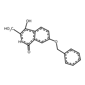 O=C(O)c1[nH]c(=O)c2cc(OCc3ccccc3)ccc2c1O